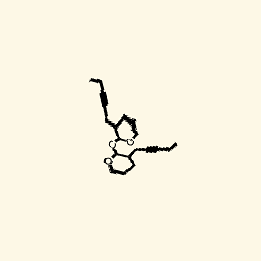 CCC#CCC1CCCOC1OC1OCCCC1CC#CCC